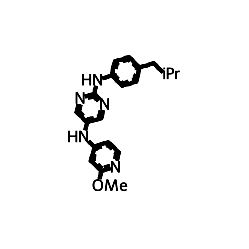 COc1cc(Nc2cnc(Nc3ccc(CC(C)C)cc3)nc2)ccn1